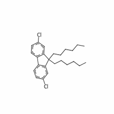 CCCCCCC1(CCCCCC)c2cc(Cl)ccc2-c2ccc(Cl)cc21